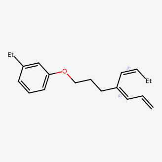 C=C/C=C(\C=C/CC)CCCOc1cccc(CC)c1